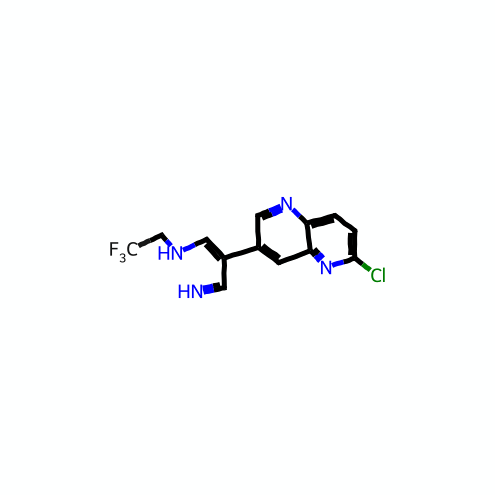 N=C/C(=C\NCC(F)(F)F)c1cnc2ccc(Cl)nc2c1